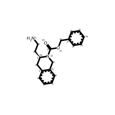 NCC[C@@H]1Cc2ccccc2CN1C(=O)OCc1ccccc1